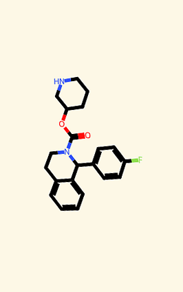 O=C(OC1CCCNC1)N1CCc2ccccc2C1c1ccc(F)cc1